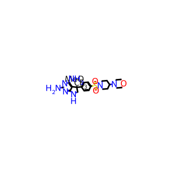 COc1cc(S(=O)(=O)N2CCC(N3CCOCC3)CC2)ccc1C1(C(F)(F)F)CNc2nc(N)nc(N)c21